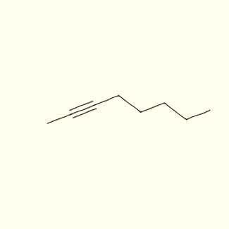 CC#CCCCCC